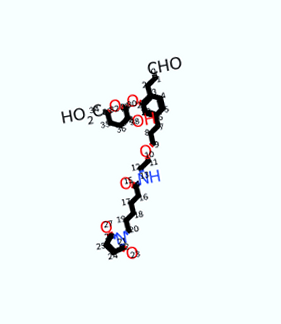 O=CCCc1ccc(CCCOCCNC(=O)CCCCCN2C(=O)C=CC2=O)cc1O[C@@H]1OC(C(=O)O)CC[C@H]1O